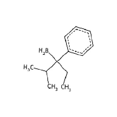 BC(CC)(c1ccccc1)C(C)C